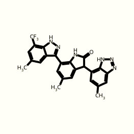 Cc1cc(-c2n[nH]c3c(C(F)(F)F)cc(C)cc23)c2c(c1)C(c1cc(C)cc3nn[nH]c13)C(=O)N2